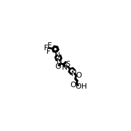 O=C(O)C=CC(=O)N1CCC(c2nc(C(=O)N3CCN(c4cccc(C(F)(F)F)c4)CC3)cs2)CC1